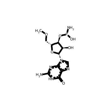 COC[C@H]1O[C@@H](n2cnc3c(=O)[nH]c(N)nc32)[C@H](O)[C@@H]1OP(N)O